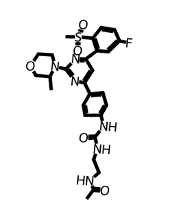 CC(=O)NCCNC(=O)Nc1ccc(-c2cc(-c3cc(F)ccc3S(C)(=O)=O)nc(N3CCOCC3C)n2)cc1